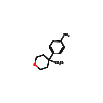 CCOC(=O)C1(c2ccc([N+](=O)[O-])cc2)CCOCC1